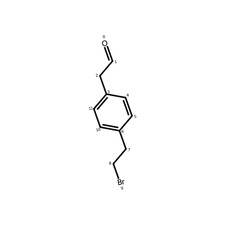 O=CCc1ccc(CCBr)cc1